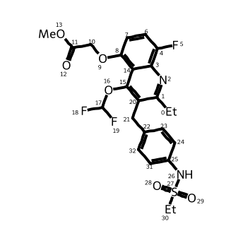 CCc1nc2c(F)ccc(OCC(=O)OC)c2c(OC(F)F)c1Cc1ccc(NS(=O)(=O)CC)cc1